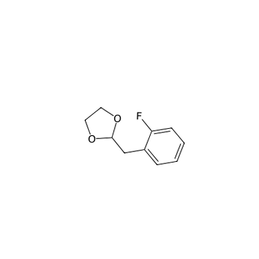 Fc1ccccc1CC1OCCO1